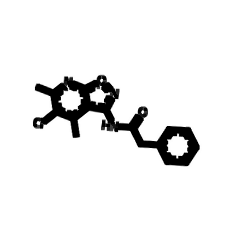 Cc1nc2onc(NC(=O)Cc3ccccc3)c2c(C)c1Cl